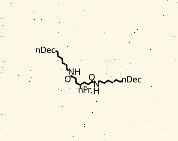 CCCCCCCCCCCCCCCCNC(=O)CCC(CCC)CCC(=O)NCCCCCCCCCCCCCCCC